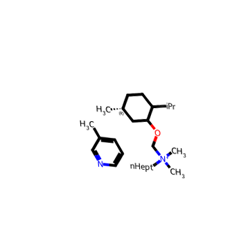 CCCCCCC[N+](C)(C)COC1C[C@H](C)CCC1C(C)C.Cc1cccnc1